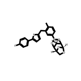 Cc1ccc(B2OC3[C@H]4OC[C@@H](O4)C(O2)[C@@H]3O)cc1Cc1ccc(-c2ccc(F)cc2)s1